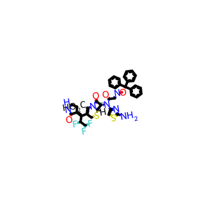 Nc1nc(N(C(=O)C=NOC(c2ccccc2)(c2ccccc2)c2ccccc2)[C@@H]2C(=O)N3C(C(=O)O)=C(C(=C4CCNC4=O)C(F)C(F)F)CS[C@H]23)cs1